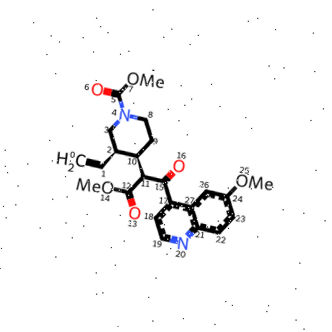 C=C[C@H]1CN(C(=O)OC)CC[C@H]1C(C(=O)OC)C(=O)c1ccnc2ccc(OC)cc12